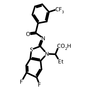 CCC(C(=O)O)n1c(=NC(=O)c2cccc(C(F)(F)F)c2)sc2cc(F)c(F)cc21